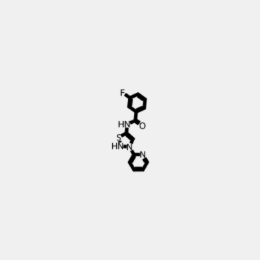 O=C(NC1=CN(c2ccccn2)NS1)c1cccc(F)c1